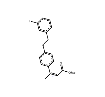 COC(=O)/C=C(/C)c1ccc(OCc2cccc(F)c2)cc1